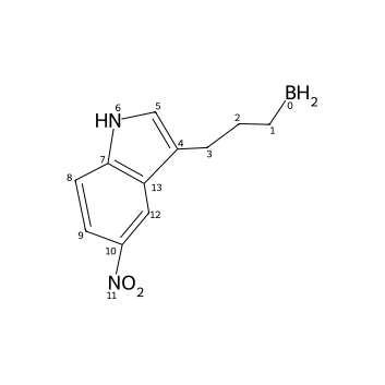 BCCCc1c[nH]c2ccc([N+](=O)[O-])cc12